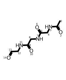 CC(=O)NCC(=O)NCC(=O)NC[C]=O